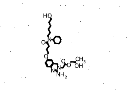 CC(O)COC(=O)CN1Cc2cc(OCCCC(=O)N(CCCCCCO)C3CCCCC3)ccc2N=C1N